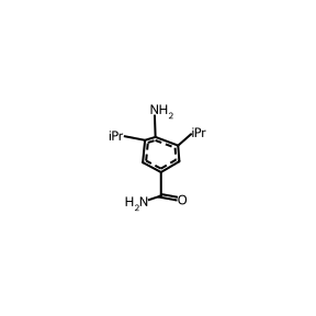 CC(C)c1cc(C(N)=O)cc(C(C)C)c1N